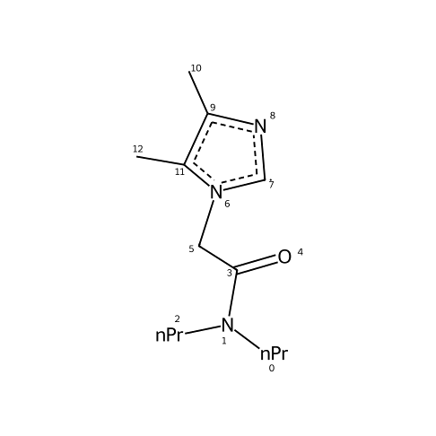 CCCN(CCC)C(=O)Cn1[c]nc(C)c1C